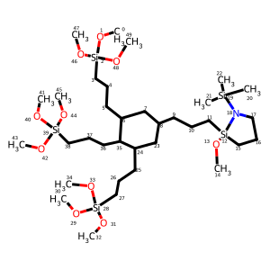 CO[Si](CCCC1CC(CCC[Si]2(OC)CCCN2[Si](C)(C)C)CC(CCC[Si](OC)(OC)OC)C1CCC[Si](OC)(OC)OC)(OC)OC